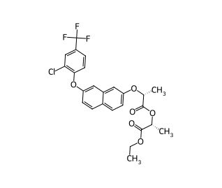 CCOC(=O)[C@@H](C)OC(=O)[C@@H](C)Oc1ccc2ccc(Oc3ccc(C(F)(F)F)cc3Cl)cc2c1